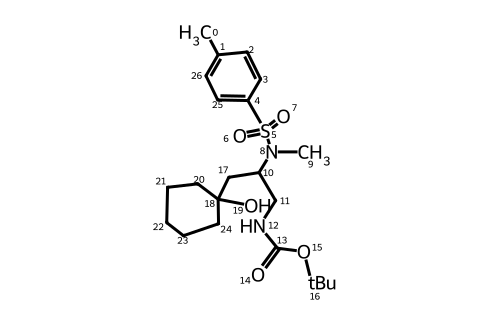 Cc1ccc(S(=O)(=O)N(C)C(CNC(=O)OC(C)(C)C)CC2(O)CCCCC2)cc1